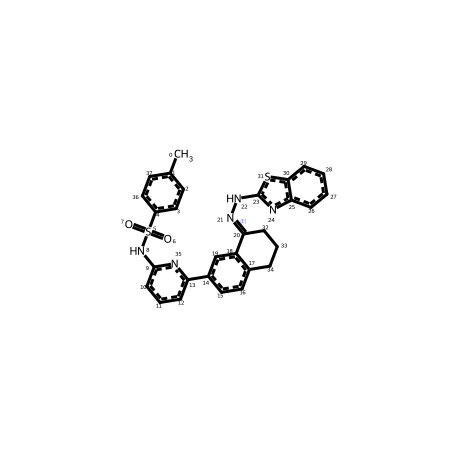 Cc1ccc(S(=O)(=O)Nc2cccc(-c3ccc4c(c3)/C(=N/Nc3nc5ccccc5s3)CCC4)n2)cc1